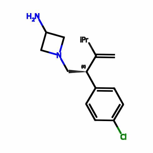 C=C(C(C)C)[C@@H](CN1CC(N)C1)c1ccc(Cl)cc1